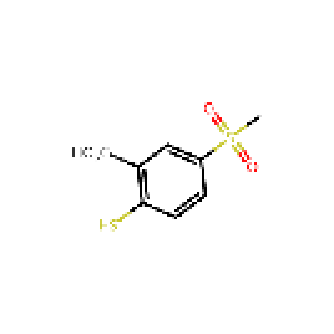 CS(=O)(=O)c1ccc(S)c(C(=O)O)c1